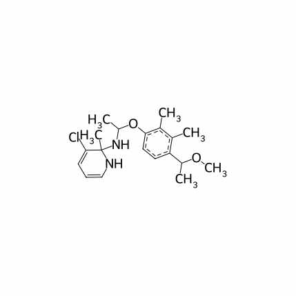 COC(C)c1ccc(OC(C)NC2(C)NC=CC=C2Cl)c(C)c1C